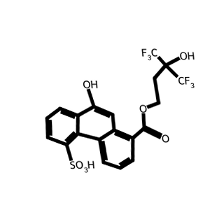 O=C(OCCC(O)(C(F)(F)F)C(F)(F)F)c1cccc2c1cc(O)c1cccc(S(=O)(=O)O)c12